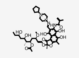 C=C(C)C(=O)Nc1c(/C=N/N2CCN(C3CCCC3)CC2)c(O)c2c3c(c(C)c(O)c2c1O)O[C@](C)(O/C=C/[C@H](OC)[C@@H](C)[C@@H](OC(C)=O)[C@H](C)[C@H](O)C[C@@H](O)CC)C3=O